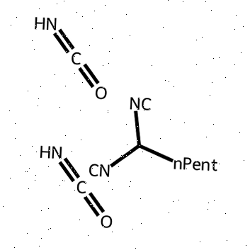 N=C=O.N=C=O.[C-]#[N+]C(CCCCC)[N+]#[C-]